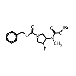 CN(C(=O)OC(C)(C)C)[C@@H]1CN(C(=O)OCc2ccccc2)C[C@H]1F